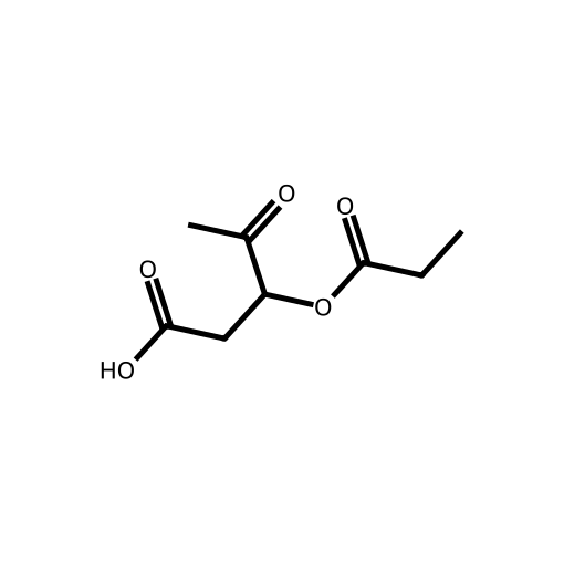 CCC(=O)OC(CC(=O)O)C(C)=O